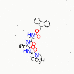 CC(C)C(C(=O)N[C@@H](CC(=O)O)C(=O)N1CCCC1)N(C)C(=O)C(C)(C)NC(=O)OCC1c2ccccc2-c2ccccc21